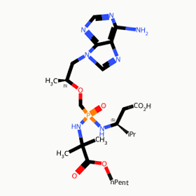 CCCCCOC(=O)C(C)(C)NP(=O)(CO[C@@H](C)Cn1cnc2c(N)ncnc21)N[C@@H](CC(=O)O)C(C)C